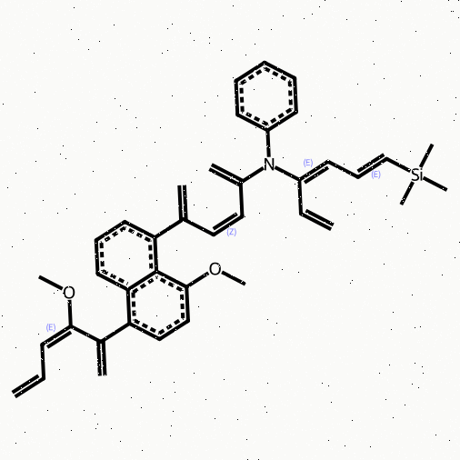 C=C/C=C(/OC)C(=C)c1ccc(OC)c2c(C(=C)/C=C\C(=C)N(/C(C=C)=C/C=C/[Si](C)(C)C)c3ccccc3)cccc12